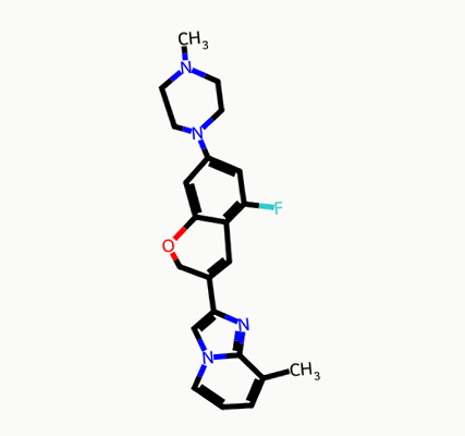 Cc1cccn2cc(C3=Cc4c(F)cc(N5CCN(C)CC5)cc4OC3)nc12